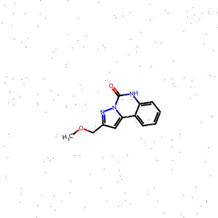 COCc1cc2c3ccccc3[nH]c(=O)n2n1